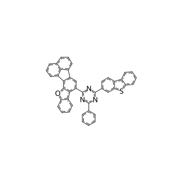 c1ccc(-c2nc(-c3ccc4c(c3)sc3ccccc34)nc(-c3cc4c(c5oc6ccccc6c35)-c3cccc5cccc-4c35)n2)cc1